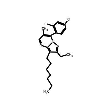 CCCCCCCc1c(CC)nn2c(-c3ccc(Cl)cc3Cl)c(C)cnc12